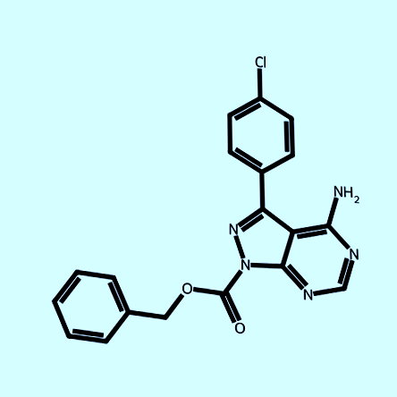 Nc1ncnc2c1c(-c1ccc(Cl)cc1)nn2C(=O)OCc1ccccc1